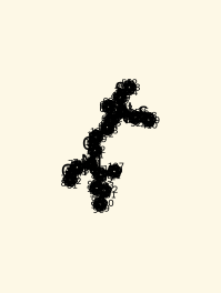 c1ccc(-c2cc(-c3nc(-c4ccc5c(c4)oc4ccc(-c6ccc7cc(-c8nc(-c9ccc%10c(c9)sc9ccccc9%10)nc(-c9ccc%10sc%11ccccc%11c%10c9)n8)c(-c8ccccc8)cc7c6)cc45)nc(-c4ccc5oc6ccccc6c5c4)n3)cc(-c3cccc4c(-c5ccccc5)cccc34)c2)cc1